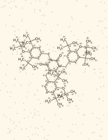 CC(C)(C)c1cc(Cn2c(=O)n(Cc3cc(C(C)(C)C)c(O[Si](C)(C)C)c(C(C)(C)C)c3)c(=O)n(Cc3ccc(C(C)(C)C)c(O[Si](C)(C)C)c3C(C)(C)C)c2=O)cc(C(C)(C)C)c1O[Si](C)(C)C